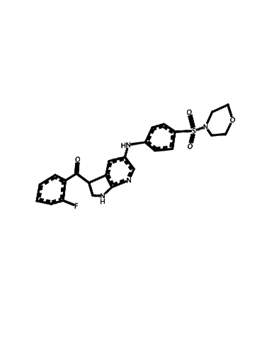 O=C(c1ccccc1F)C1CNc2ncc(Nc3ccc(S(=O)(=O)N4CCOCC4)cc3)cc21